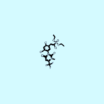 CCOP(=O)(OCC)C(Cl)=Cc1cc(-n2c(=O)cc(C(F)(F)F)n(C)c2=O)c(Cl)cc1Cl